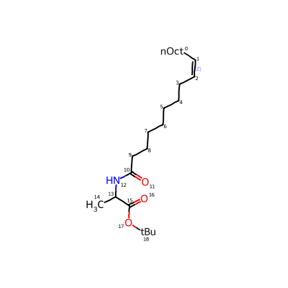 CCCCCCCC/C=C\CCCCCCCC(=O)NC(C)C(=O)OC(C)(C)C